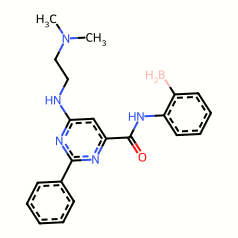 Bc1ccccc1NC(=O)c1cc(NCCN(C)C)nc(-c2ccccc2)n1